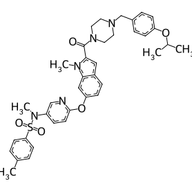 Cc1ccc(S(=O)(=O)N(C)c2ccc(Oc3ccc4cc(C(=O)N5CCN(Cc6ccc(OC(C)C)cc6)CC5)n(C)c4c3)nc2)cc1